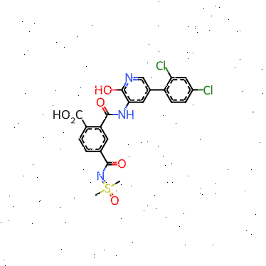 CS(C)(=O)=NC(=O)c1ccc(C(=O)O)c(C(=O)Nc2cc(-c3ccc(Cl)cc3Cl)cnc2O)c1